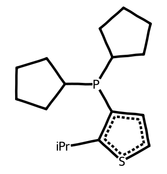 CC(C)c1sccc1P(C1CCCC1)C1CCCC1